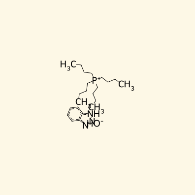 CCCC[P+](CCCC)(CCCC)CCCC.[OH-].c1ccc2[nH]nnc2c1